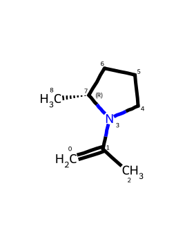 C=C(C)N1CCC[C@H]1C